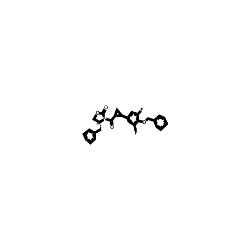 O=C1OC[C@@H](Cc2ccccc2)N1C(=O)C1CC1c1cc(F)c(OCc2ccccc2)c(F)c1